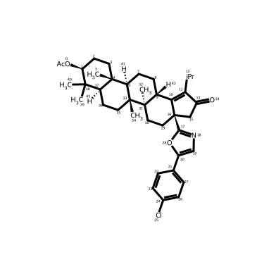 CC(=O)O[C@H]1CC[C@]2(C)[C@H]3CC[C@@H]4C5=C(C(C)C)C(=O)C[C@]5(c5ncc(-c6ccc(Cl)cc6)o5)CC[C@@]4(C)[C@]3(C)CC[C@H]2C1(C)C